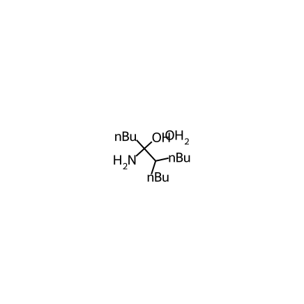 CCCCC(CCCC)C(N)(O)CCCC.O